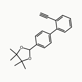 C#Cc1ccccc1-c1ccc(C2OC(C)(C)C(C)(C)O2)cc1